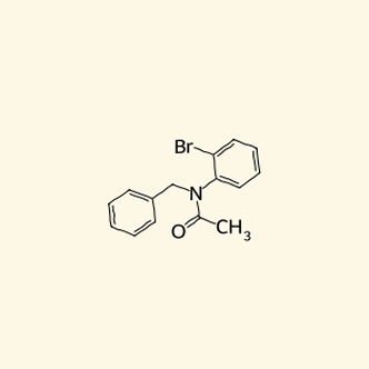 CC(=O)N(Cc1ccccc1)c1ccccc1Br